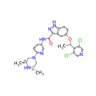 CC(Oc1ccc2[nH]nc(C(=O)Nc3ccc(N4C[C@H](C)N[C@@H](C)C4)nc3)c2c1)c1c(Cl)cncc1Cl